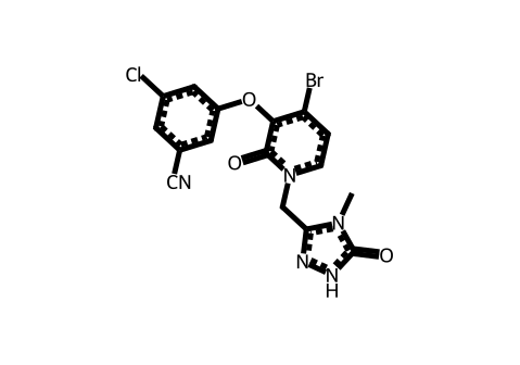 Cn1c(Cn2ccc(Br)c(Oc3cc(Cl)cc(C#N)c3)c2=O)n[nH]c1=O